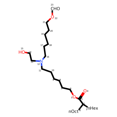 CCCCCCCCC(CCCCCC)C(=O)OCCCCCCN(CCO)CCCCCCOC=O